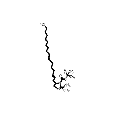 CC(C)(C)OC(=O)N1C(CC=CCCCCCCCCCCCCCO)COC1(C)C